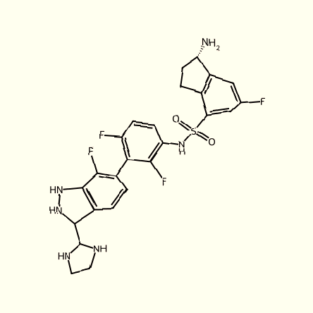 N[C@H]1CCc2c1cc(F)cc2S(=O)(=O)Nc1ccc(F)c(-c2ccc3c(c2F)NNC3C2NCCN2)c1F